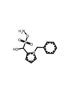 NOS(=O)(=O)C(O)c1cccn1Cc1ccccc1